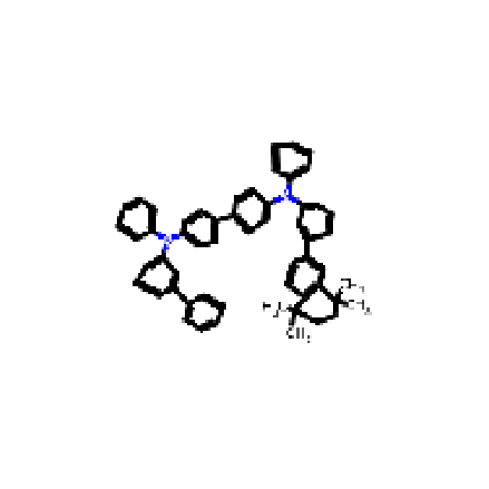 CC1(C)CCC(C)(C)c2cc(-c3cccc(N(c4ccccc4)c4ccc(-c5ccc(N(c6ccccc6)c6cccc(-c7ccccc7)c6)cc5)cc4)c3)ccc21